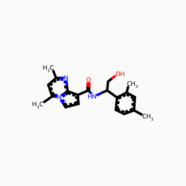 Cc1ccc(C(CO)NC(=O)c2ccn3c(C)cc(C)nc23)c(C)c1